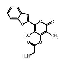 Cc1c(-c2cc3ccccc3o2)oc(=O)c(C)c1OC(=O)CN